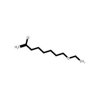 C=C(Cl)CCCCCCO[CH]C